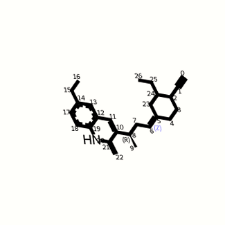 C#CC1CC/C(=C/C[C@@H](C)C2=Cc3cc(CC)ccc3NC2=C)CC1CC